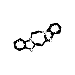 C1=C[n+]2c(oc3ccccc32)C=C2Oc3ccccc3N12